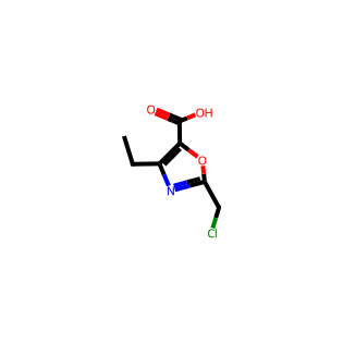 CCc1nc(CCl)oc1C(=O)O